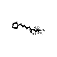 CC(C)(C)CC[C@@H](CO)CCCCCN1CCSCC1